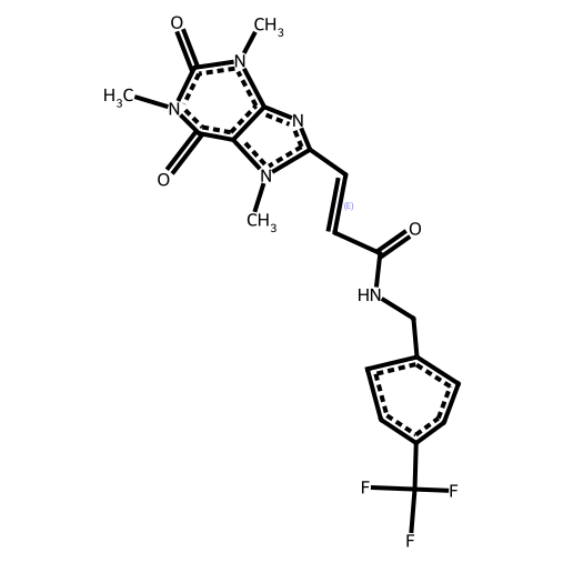 Cn1c(=O)c2c(nc(/C=C/C(=O)NCc3ccc(C(F)(F)F)cc3)n2C)n(C)c1=O